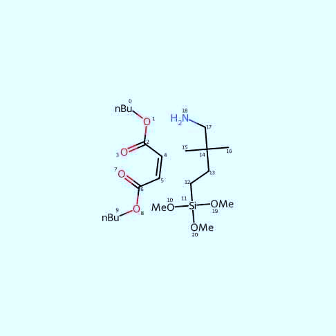 CCCCOC(=O)/C=C\C(=O)OCCCC.CO[Si](CCC(C)(C)CN)(OC)OC